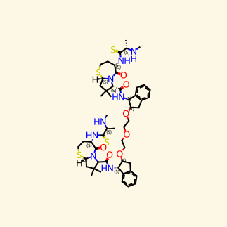 CN[C@@H](C)C(=S)N[C@H]1CCS[C@H]2CC(C)(C)C(C(=O)N[C@H]3c4ccccc4C[C@@H]3OCCOCCO[C@@H]3Cc4ccccc4[C@@H]3NC(=O)[C@H]3N4C(=O)[C@@H](NC(=S)[C@H](C)NC)CCS[C@H]4CC3(C)C)N2C1=O